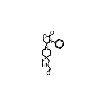 O=CNCC1(F)CCN(C2COC(=O)N2c2ccccc2)CC1